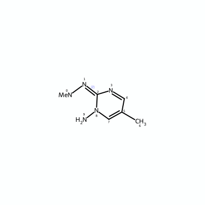 CN/N=c1/ncc(C)cn1N